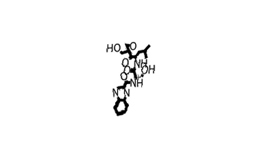 CC(C)CC(NC(=O)[C@H](CO)NC(=O)c1cnc2ccccc2n1)C(=O)C1(CO)CO1